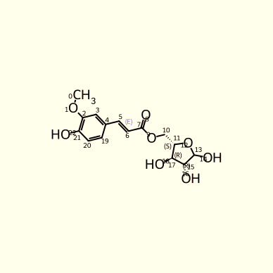 COc1cc(/C=C/C(=O)OC[C@@H]2OC(O)[C@H](O)[C@H]2O)ccc1O